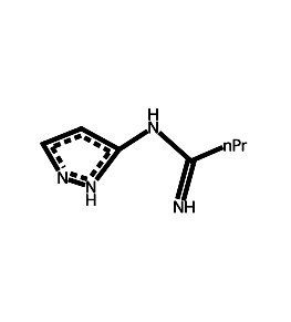 CCCC(=N)Nc1ccn[nH]1